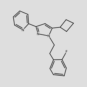 Fc1ccccc1CCn1nc(-c2ccccn2)cc1C1CCC1